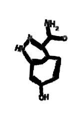 NC(=O)c1n[nH]c2cc(O)ccc12